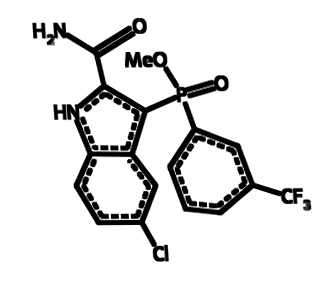 COP(=O)(c1cccc(C(F)(F)F)c1)c1c(C(N)=O)[nH]c2ccc(Cl)cc12